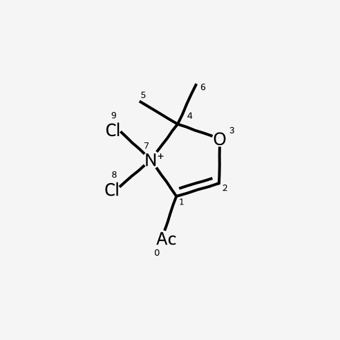 CC(=O)C1=COC(C)(C)[N+]1(Cl)Cl